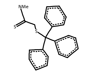 CNC(=S)CSC(c1ccccc1)(c1ccccc1)c1ccccc1